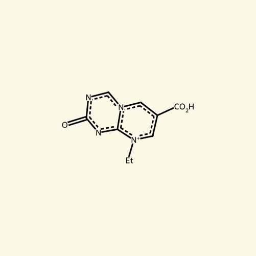 CC[n+]1cc(C(=O)O)cn2cnc(=O)nc21